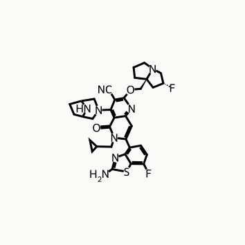 N#Cc1c(OC[C@@]23CCCN2C[C@H](F)C3)nc2cc(-c3ccc(F)c4sc(N)nc34)n(CC3CC3)c(=O)c2c1N1CC2CCC(C1)N2